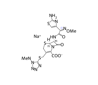 CNn1nnnc1SCC1=C(C(=O)[O-])N2C(=O)[C@@H](NC(=O)/C(=N\OC)c3csc(N)n3)[C@@H]2SC1.[Na+]